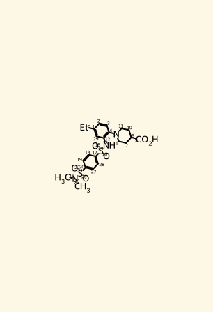 CCc1ccc(N2CCC(C(=O)O)CC2)c(NS(=O)(=O)c2ccc(S(=O)(=O)N(C)C)cc2)c1